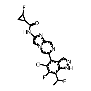 CC(F)c1c(F)c(Cl)c(-c2cn3cc(NC(=O)C4CC4F)nc3cn2)c2cn[nH]c12